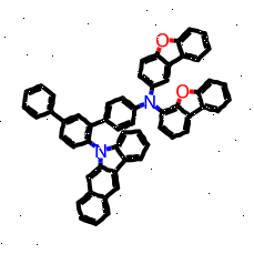 c1ccc(-c2ccc(-n3c4ccccc4c4cc5ccccc5cc43)c(-c3ccc(N(c4ccc5oc6ccccc6c5c4)c4cccc5c4oc4ccccc45)cc3)c2)cc1